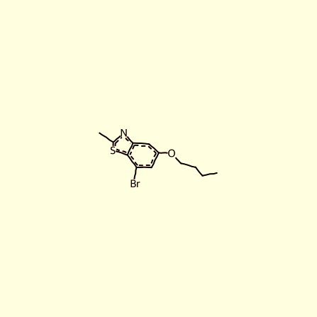 CCCCOc1cc(Br)c2sc(C)nc2c1